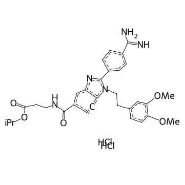 COc1ccc(CCn2c(-c3ccc(C(=N)N)cc3)nc3cc(C(=O)NCCC(=O)OC(C)C)ccc32)cc1OC.Cl.Cl